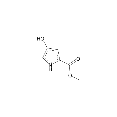 COC(=O)c1cc(O)c[nH]1